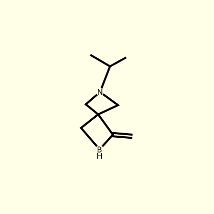 C=C1BCC12CN(C(C)C)C2